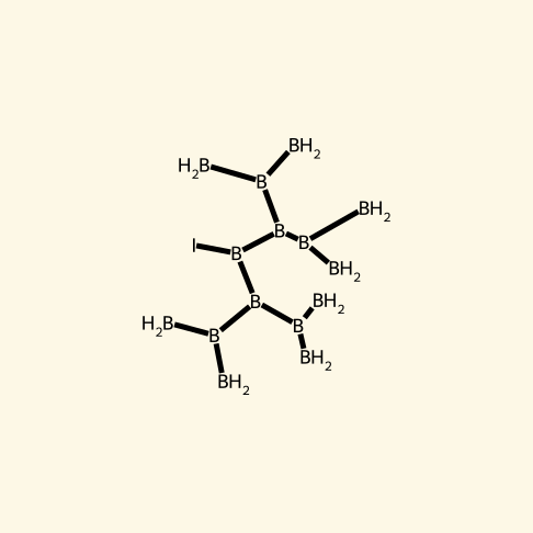 BB(B)B(B(B)B)B(I)B(B(B)B)B(B)B